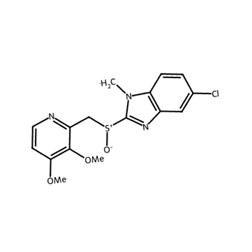 [CH2]n1c([S+]([O-])Cc2nccc(OC)c2OC)nc2cc(Cl)ccc21